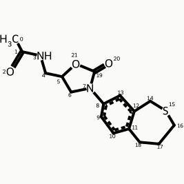 CC(=O)NCC1CN(c2ccc3c(c2)CSCCC3)C(=O)O1